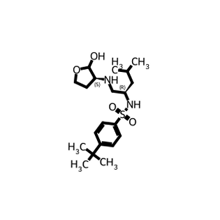 CC(C)C[C@H](CN[C@H]1CCOC1O)NS(=O)(=O)c1ccc(C(C)(C)C)cc1